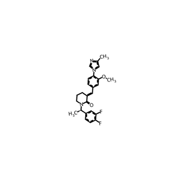 COc1cc(/C=C2\CCCN([C@H](C)c3ccc(F)c(F)c3)C2=O)ccc1-n1cnc(C)c1